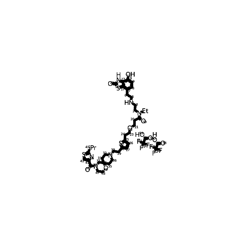 CCN(CCNCCc1ccc(O)c2[nH]c(=O)sc12)C(=O)CCOCCc1ccc(CCN2CCC3(CC2)CN(C(=O)c2csc(C(C)C)n2)CCO3)s1.O=C(O)C(F)(F)F.O=C(O)C(F)(F)F